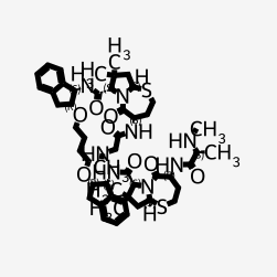 CNCC(=O)N[C@H]1CCS[C@H]2CC(C)(C)[C@@H](C(=O)N[C@H]3c4ccccc4C[C@H]3OCCCCO[C@@H]3Cc4ccccc4[C@@H]3NC(=O)[C@H]3N4C(=O)[C@@H](NC(=O)[C@H](C)NC)CCS[C@H]4CC3(C)C)N2C1=O